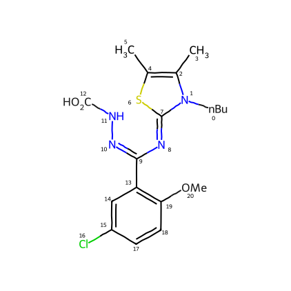 CCCCn1c(C)c(C)sc1=NC(=NNC(=O)O)c1cc(Cl)ccc1OC